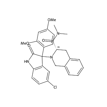 COc1ccc(C2(N3Cc4ccccc4C[C@H]3C(=O)N(C)C)C(=O)Nc3ccc(Cl)cc32)c(OC)c1